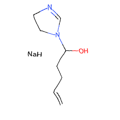 C=CCCC(O)N1C=NCC1.[NaH]